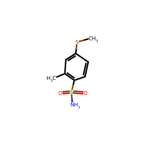 CSc1ccc(S(N)(=O)=O)c(C)c1